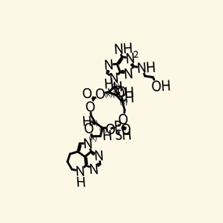 Nc1nc(NCCO)nc2c1ncn2[C@@H]1O[C@@H]2COP(=O)(S)O[C@H]3C[C@H](n4cc5c6c(ncnc64)NCCC5)O[C@@H]3COC(=O)O[C@@H]1[C@@H]2O